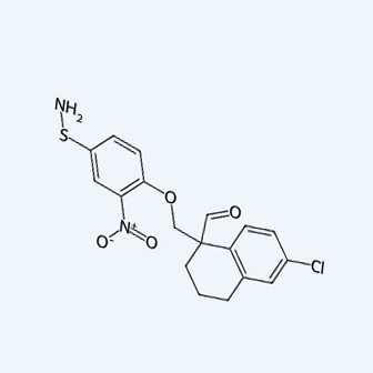 NSc1ccc(OCC2(C=O)CCCc3cc(Cl)ccc32)c([N+](=O)[O-])c1